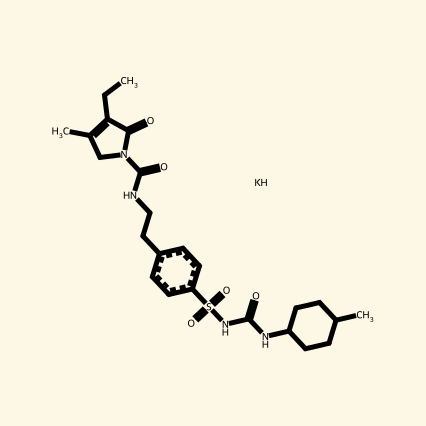 CCC1=C(C)CN(C(=O)NCCc2ccc(S(=O)(=O)NC(=O)NC3CCC(C)CC3)cc2)C1=O.[KH]